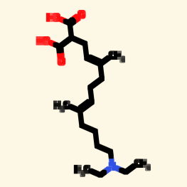 CCN(CC)CCCCC(C)=CCCC(C)=CCC(C(=O)O)C(=O)O